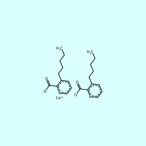 CCCCCc1cccnc1C(=O)[O-].CCCCCc1cccnc1C(=O)[O-].[Ca+2]